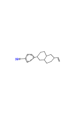 C=CC1CCC2CC(c3ccc(C#N)cc3)CCC2C1